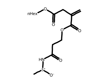 C=C(CC(=O)OCCCCCC)C(=O)OCCC(=O)N[S+](C)[O-]